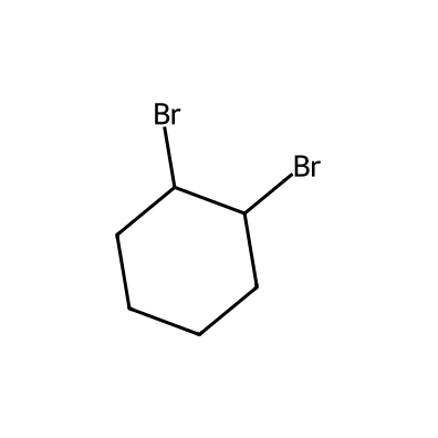 BrC1CCCCC1Br